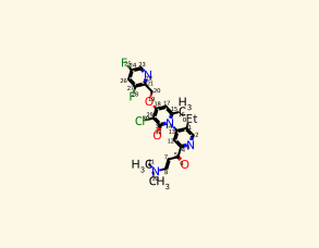 CCc1cnc(C(=O)/C=C/N(C)C)cc1-n1c(C)cc(OCc2ncc(F)cc2F)c(Cl)c1=O